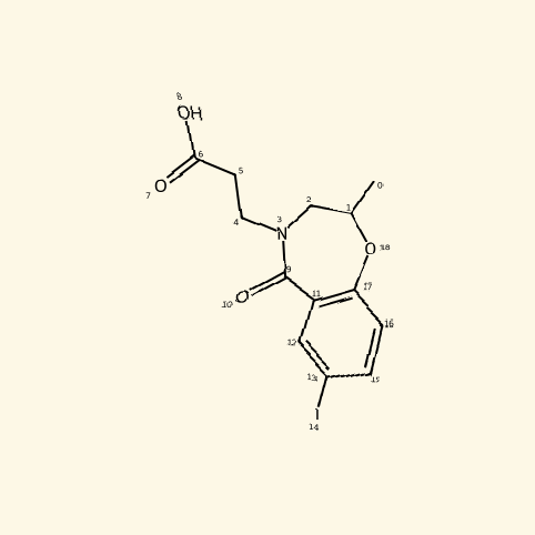 CC1CN(CCC(=O)O)C(=O)c2cc(I)ccc2O1